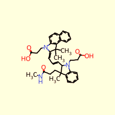 CNC(=O)CCC1(C)c2ccccc2N(CCC(=O)O)C1/C=C/C=C1/N(CCC(=O)O)c2ccc3ccccc3c2C1(C)C